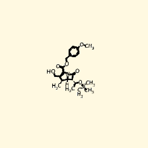 COc1ccc(COC(=O)C2=C(CO)[C@H](C)[C@H]3[C@@H](C(C)O[Si](C)(C)C)C(=O)N23)cc1